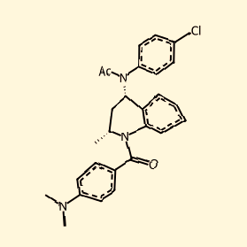 CC(=O)N(c1ccc(Cl)cc1)[C@H]1C[C@@H](C)N(C(=O)c2ccc(N(C)C)cc2)c2ccccc21